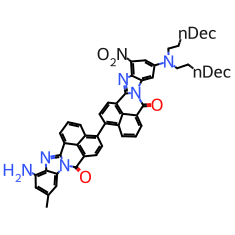 CCCCCCCCCCCCN(CCCCCCCCCCCC)c1cc([N+](=O)[O-])c2nc3c4ccc(-c5ccc6c(=O)n7c8cc(C)cc(N)c8nc7c7cccc5c67)c5cccc(c(=O)n3c2c1)c54